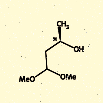 COC(C[C@@H](C)O)OC